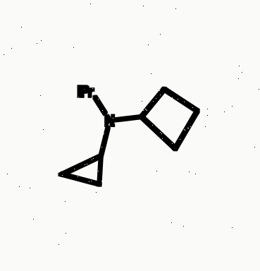 CC(C)N(C1CCC1)C1CC1